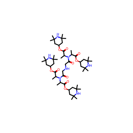 CC(C(=O)OC1CC(C)(C)NC(C)(C)C1)N(C(=O)CNCC(=O)N(C(C)C(=O)OC1CC(C)(C)NC(C)(C)C1)C(C)C(=O)OC1CC(C)(C)NC(C)(C)C1)C(C)C(=O)OC1CC(C)(C)NC(C)(C)C1